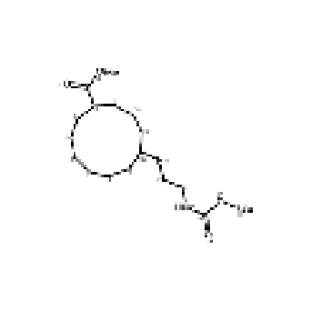 COC(=O)C1CCCCCCC(NCCNC(=O)OC(C)(C)C)CCC1